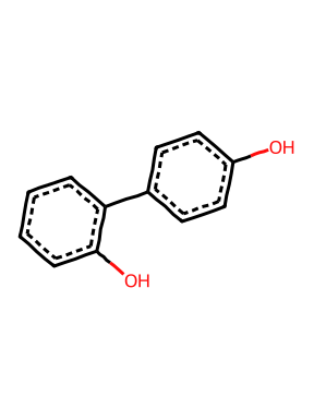 Oc1ccc(-c2ccccc2O)cc1